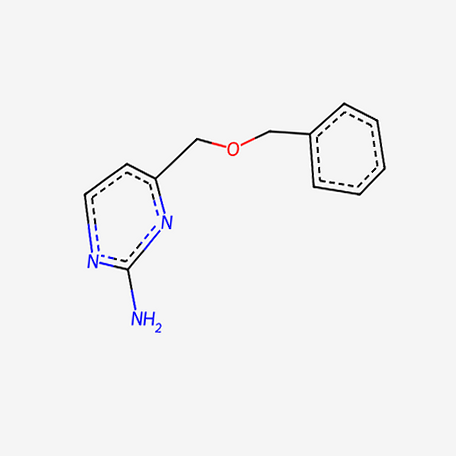 Nc1nccc(COCc2ccccc2)n1